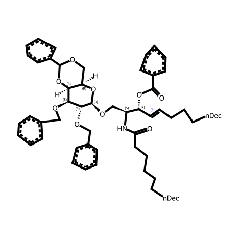 CCCCCCCCCCCCC/C=C/[C@@H](OC(=O)c1ccccc1)[C@H](CO[C@@H]1O[C@@H]2COC(c3ccccc3)O[C@@H]2[C@H](OCc2ccccc2)[C@H]1OCc1ccccc1)NC(=O)CCCCCCCCCCCCCCC